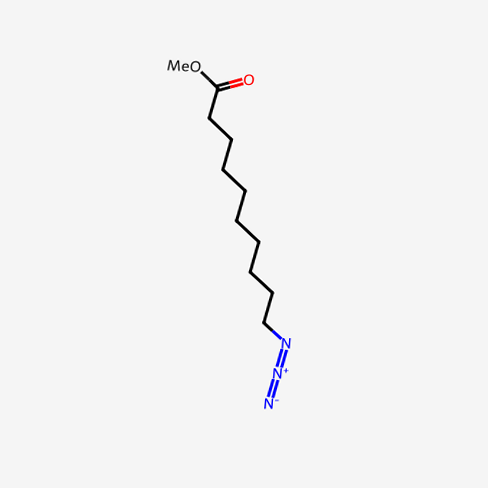 COC(=O)CCCCCCCCCN=[N+]=[N-]